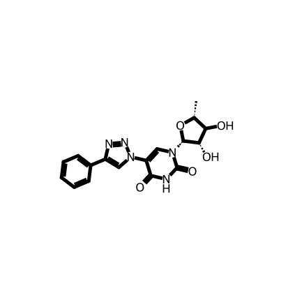 C[C@H]1O[C@@H](n2cc(-n3cc(-c4ccccc4)nn3)c(=O)[nH]c2=O)[C@@H](O)C1O